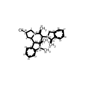 C=C1C(C2C[C@@H](Cl)CN2C(=C)C(C)N2Cc3ccccc3C2=C)c2ccccc2N1C